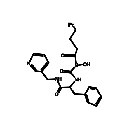 CC(C)CCCC(=O)N(O)C(=O)N[C@@H](Cc1ccccc1)C(=O)NCc1cccnc1